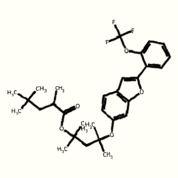 CC(CC(C)(C)C)C(=O)OC(C)(C)CC(C)(C)Oc1ccc2cc(-c3ccccc3OC(F)(F)F)oc2c1